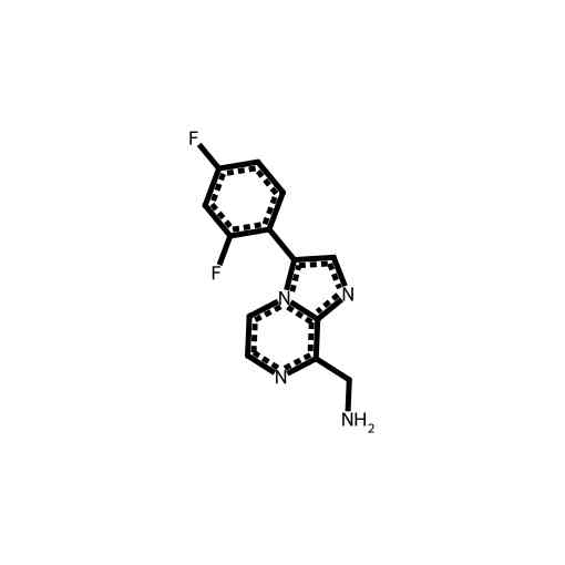 NCc1nccn2c(-c3ccc(F)cc3F)cnc12